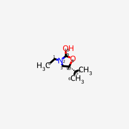 CCN1C[C@@H](C(C)C)OC1O